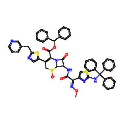 CO/N=C(/C(=O)NC1C(=O)N2C(C(=O)OC(c3ccccc3)c3ccccc3)=C(c3cnc(Cc4cccnc4)s3)C[S+]([O-])C12)c1csc(NC(c2ccccc2)(c2ccccc2)c2ccccc2)n1